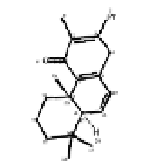 CC1=C(C(C)C)CC2=C(C1=O)[C@@]1(C)CCCC(C)(C)[C@@H]1C=C2